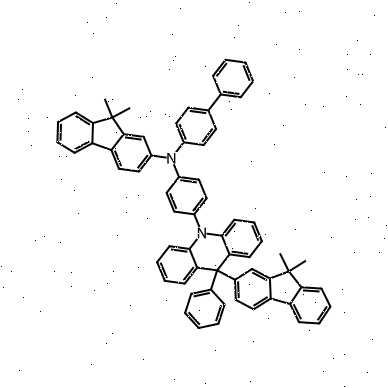 CC1(C)c2ccccc2-c2ccc(N(c3ccc(-c4ccccc4)cc3)c3ccc(N4c5ccccc5C(c5ccccc5)(c5ccc6c(c5)C(C)(C)c5ccccc5-6)c5ccccc54)cc3)cc21